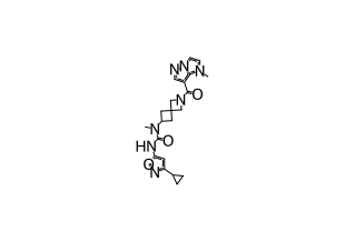 CN(C(=O)Nc1cc(C2CC2)no1)C1CC2(C1)CN(C(=O)c1cnn3ccn(C)c13)C2